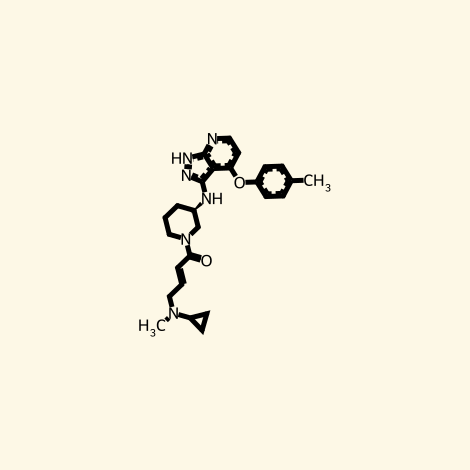 Cc1ccc(Oc2ccnc3[nH]nc(N[C@@H]4CCCN(C(=O)/C=C/CN(C)C5CC5)C4)c23)cc1